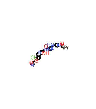 CC(C)CC(=O)N1CCC(Nc2cc(C(=O)NCC(O)CN3CCc4c(ccc(OCc5cnco5)c4Cl)C3)ccn2)CC1